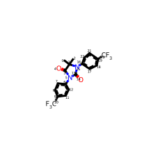 CC1(C)C(=O)N(c2ccc(C(F)(F)F)cc2)C(=O)N1c1ccc(C(F)(F)F)cc1